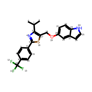 CC(C)c1nc(-c2ccc(C(F)(F)F)cc2)sc1COc1ccc2[nH]ccc2c1